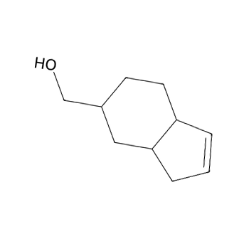 OCC1CCC2C=CCC2C1